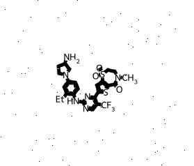 CCc1cc(N2CCC(N)C2)ccc1Nc1ncc(C(F)(F)F)c(-c2cc3c(s2)C(=O)N(C)CCS3(=O)=O)n1